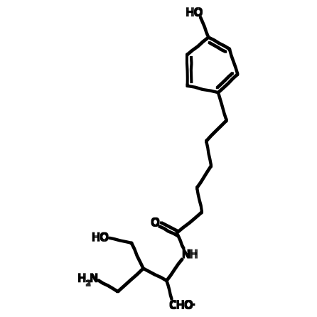 NCC(CO)C([C]=O)NC(=O)CCCCCc1ccc(O)cc1